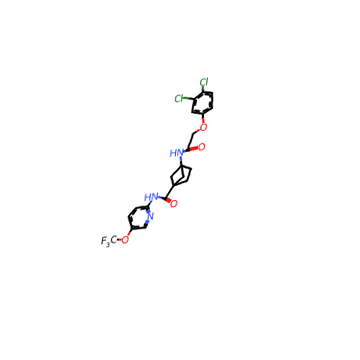 O=C(COc1ccc(Cl)c(Cl)c1)NC12CCC(C(=O)Nc3ccc(OC(F)(F)F)cn3)(C1)C2